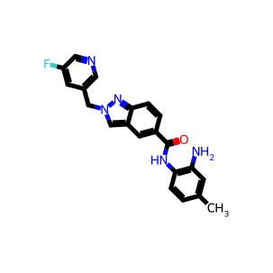 Cc1ccc(NC(=O)c2ccc3nn(Cc4cncc(F)c4)cc3c2)c(N)c1